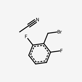 CC#N.Fc1cccc(F)c1CBr